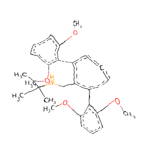 COc1cccc(OC)c1-c1cccc(-c2c(OC)cccc2OC)c1CPC(C)(C)C